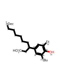 CCCCCCCCCCCCCCCCC(CC(=O)O)c1cc(CC)c(O)c(C(C)(C)C)c1